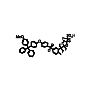 COc1ccc(C(c2ccccc2)(c2ccccc2)c2ccc(Oc3ccc(S(=O)(=O)c4ccc(C)c(C(F)(F)C(F)(F)OC(F)(F)C(F)(F)S(=O)(=O)O)c4)cc3)cc2)cc1